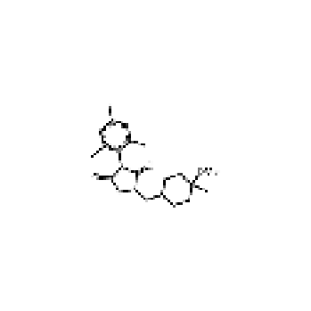 COC1(C)CCC(CC2CC(=O)C(c3c(C)cc(C)cc3C)C2=O)CC1